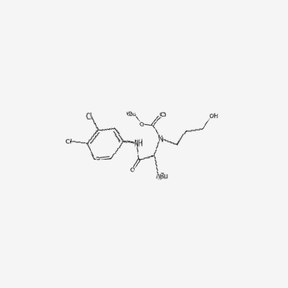 CCCCC(C(=O)Nc1ccc(Cl)c(Cl)c1)N(CCCO)C(=O)OC(C)(C)C